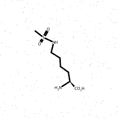 CS(=O)(=O)NCCCC[C@H](N)C(=O)O